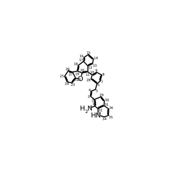 Nc1c(/C=C\Cc2cccc(-c3c4ccccc4cc4c3oc3ccccc34)c2)ccc2c1NCC=C2